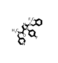 CN(Cc1ccncc1)C(=O)c1cnc(SCc2ccccc2C(F)(F)F)n1-c1ccc(F)cc1